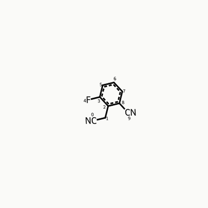 N#CCc1c(F)cccc1C#N